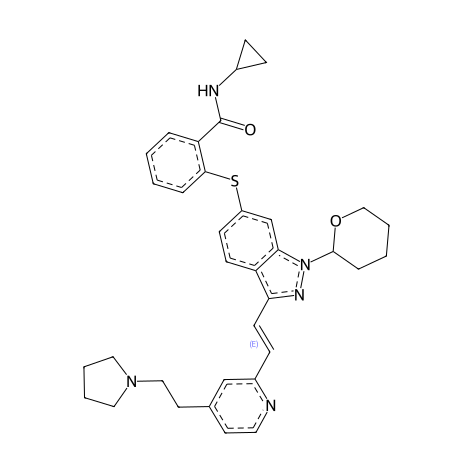 O=C(NC1CC1)c1ccccc1Sc1ccc2c(/C=C/c3cc(CCN4CCCC4)ccn3)nn(C3CCCCO3)c2c1